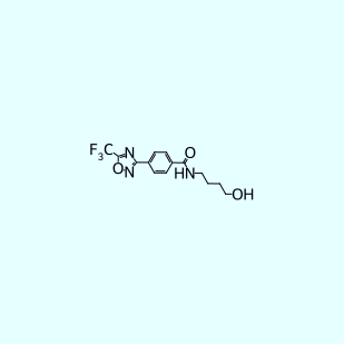 O=C(NCCCCO)c1ccc(-c2noc(C(F)(F)F)n2)cc1